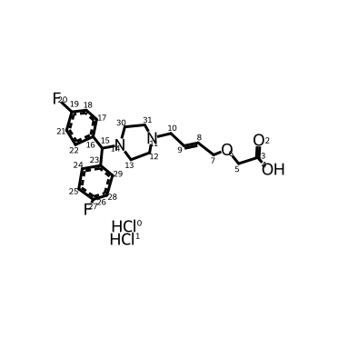 Cl.Cl.O=C(O)COC/C=C/CN1CCN(C(c2ccc(F)cc2)c2ccc(F)cc2)CC1